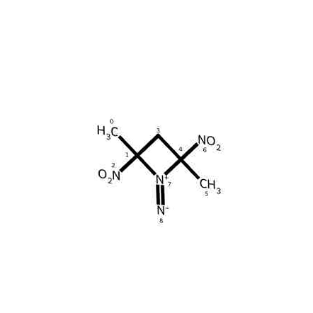 CC1([N+](=O)[O-])CC(C)([N+](=O)[O-])[N+]1=[N-]